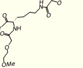 COCCOCC(=O)NCCCC[C@H](NC(=O)COCCOC)C(=O)C(C)C